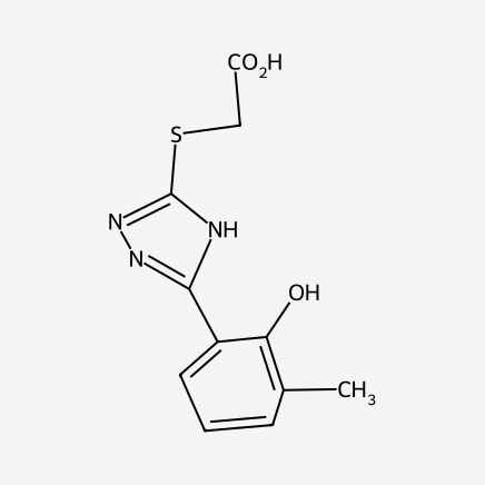 Cc1cccc(-c2nnc(SCC(=O)O)[nH]2)c1O